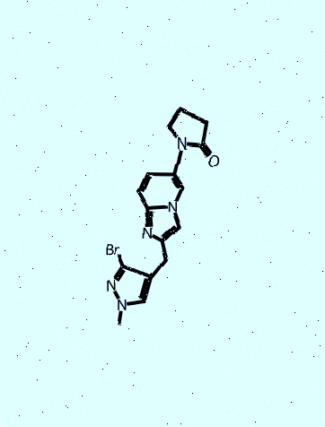 Cn1cc(Cc2cn3cc(N4CCCC4=O)ccc3n2)c(Br)n1